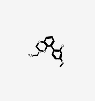 COc1ccc(-c2cccc3c2O[C@@H](CN)CO3)c(Cl)c1